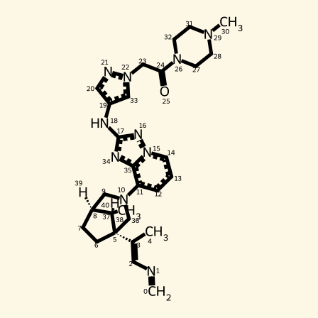 C=N/C=C(\C)[C@@]12CC[C@@H](CN(c3cccn4nc(Nc5cnn(CC(=O)N6CCN(C)CC6)c5)nc34)C1)[C@H]2C